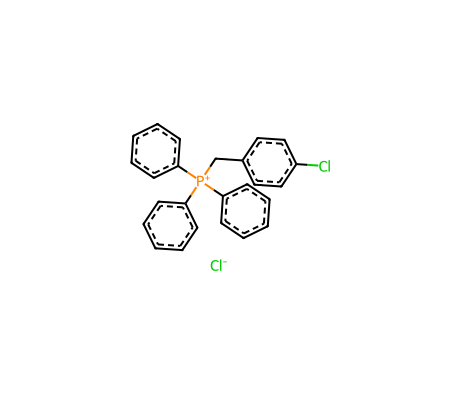 Clc1ccc(C[P+](c2ccccc2)(c2ccccc2)c2ccccc2)cc1.[Cl-]